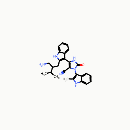 Cc1[nH]c2ccccc2c1-n1c(C#N)c(-c2c(CC(CN)C(C)C)[nH]c3ccccc23)[nH]c1=O